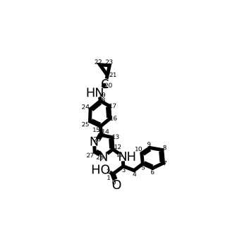 O=C(O)C(Cc1ccccc1)Nc1cc(-c2ccc(NCC3CC3)cc2)ncn1